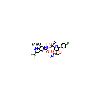 COc1cc(C(=O)NC[C@](O)(c2cc3c(c(-c4ccc(F)cc4)n2)OC[C@]3(C)C(N)=O)C2CC2)cc2cc(C(F)F)nnc12